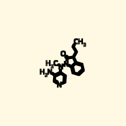 CCCC1C(=O)N(N(C)c2ccncc2N)c2ccccc21